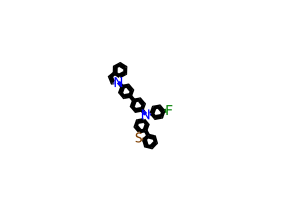 Fc1ccc(N(c2ccc(-c3ccc(-n4ccc5ccccc54)cc3)cc2)c2ccc3sc4ccccc4c3c2)cc1